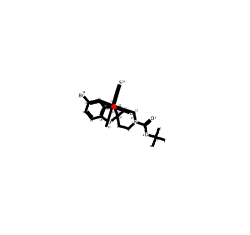 CC(C)(C)OC(=O)N1CCC2(CC1)Oc1ccc(Br)cc1C21NC(=S)NC1=O